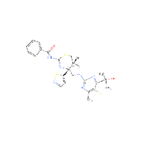 Cc1nc(N2C[C@H]3CSC(NC(=O)c4ccccc4)=N[C@@]3(c3ccns3)C2)nc(C(C)(C)O)c1F